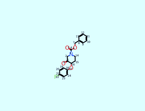 O=C1CN(C(=O)OCc2ccccc2)CCC1Oc1ccc(F)cc1